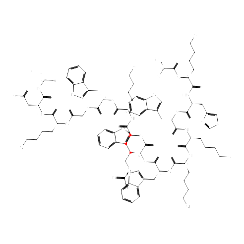 CC(C)[C@H](N)C(=O)N[C@@H](CCCCN)C(=O)N[C@@H](Cc1c[nH]cn1)C(=O)N[C@@H](Cc1c[nH]c2ccccc12)C(=O)N[C@@H](CCCCN)C(=O)N[C@@H](CCCCN)C(=O)N[C@@H](Cc1c[nH]c2ccccc12)C(=O)N[C@@H](Cc1c[nH]c2ccccc12)C(=O)N[C@@H](CCCNC(=N)N)C(=O)N[C@@H](CCCCN)C(=O)N[C@@H](Cc1c[nH]c2ccccc12)C(=O)NCC(=O)N[C@@H](CCCCN)C(=O)N[C@@H](CC(N)=O)C(=O)N[C@H](C(=O)O)C(C)C